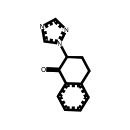 O=C1c2ccccc2CCC1n1cncn1